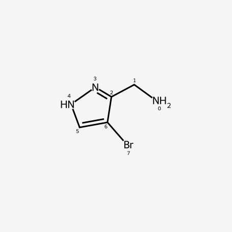 NCc1n[nH]cc1Br